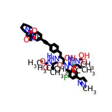 COC(=O)NC(C(=O)NC(Cc1ccc(C#Cc2ccc(N3CC4CCC(C3)N4C(=O)C3(C)COC3)nc2)cc1)C(O)CN(Cc1c(F)cc(-c2ccn(C)n2)cc1F)NC(=O)C(NC(=O)O)C(C)(C)C)C(C)(C)C